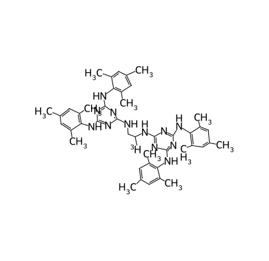 [3H]C(CNc1nc(Nc2c(C)cc(C)cc2C)nc(Nc2c(C)cc(C)cc2C)n1)Nc1nc(Nc2c(C)cc(C)cc2C)nc(Nc2c(C)cc(C)cc2C)n1